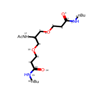 CCCCNC(=O)CCOCC(COCCC(=O)NCCCC)NC(C)=O